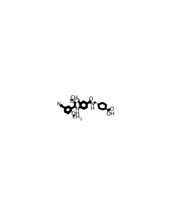 COCC(Nc1ccc(C(=O)NC[C@H]2CC[C@H](C(=O)O)CC2)cc1Cl)c1cc(C#N)ccc1OC